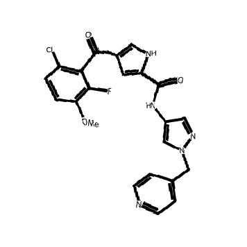 COc1ccc(Cl)c(C(=O)c2c[nH]c(C(=O)Nc3cnn(Cc4ccncc4)c3)c2)c1F